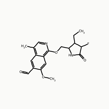 CCC1C(COc2ncc(C)c3cc(C=O)c(OC)cc23)NC(=O)C1F